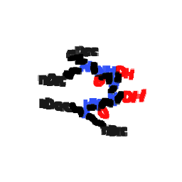 CCCCCCCCCCCCCCN(CCCCCCCCCCCCCC)CCNC(=O)CCN(CCO)CCN(CCO)CCC(=O)NCCN(CCCCCCCCCCCCCC)CCCCCCCCCCCCCC